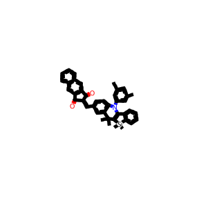 Cc1cc(C)cc(N2C3=C(C(C)(C)c4cc(C=C5C(=O)c6cc7ccccc7cc6C5=O)ccc42)[Si](C)(C)c2ccccc23)c1